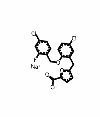 O=C([O-])c1ccc(Cc2cc(Cl)ccc2OCc2ccc(Cl)cc2F)o1.[Na+]